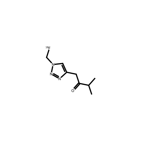 CC(C)C(=O)Cc1cn(C[18F])nn1